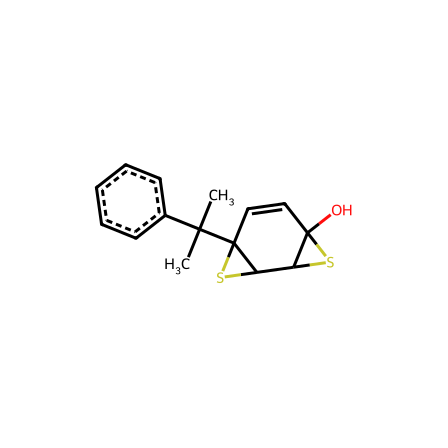 CC(C)(c1ccccc1)C12C=CC3(O)SC3C1S2